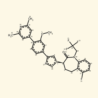 COc1cc(-c2cn([C@@H]3CCc4c(F)cccc4N(CC(F)(F)F)C3=O)nn2)ccc1-c1cc(C)nc(C)c1